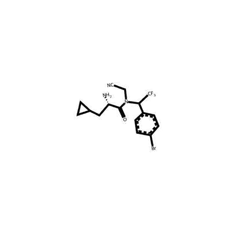 N#CCN(C(=O)[C@@H](N)CC1CC1)C(c1ccc(Br)cc1)C(F)(F)F